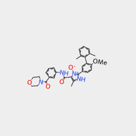 COc1ccc(-c2[nH]c(C)c(C(=O)Nc3cccc(C(=O)N4CCOCC4)c3)[n+]2[O-])cc1-c1c(C)cccc1C